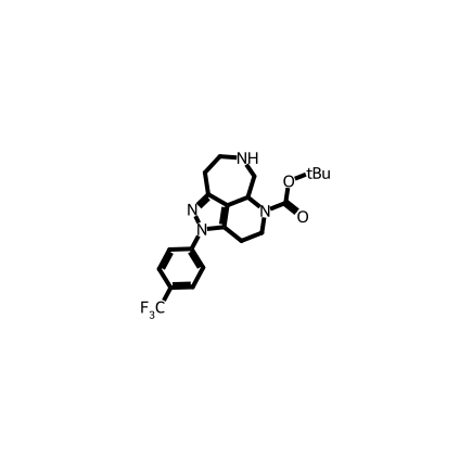 CC(C)(C)OC(=O)N1CCc2c3c(nn2-c2ccc(C(F)(F)F)cc2)CCNCC31